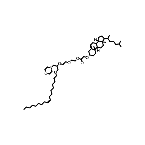 CCCCCCCC/C=C\CCCCCCCCOCC(CN1CCOCC1)OCCOCCOC(=O)CO[C@H]1CCC2(C)C(=CCC3[C@@H]2CCC2(C)C(C(C)CCCC(C)C)CC[C@@H]32)C1